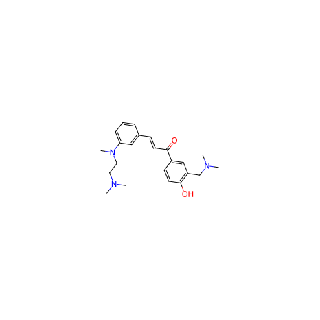 CN(C)CCN(C)c1cccc(C=CC(=O)c2ccc(O)c(CN(C)C)c2)c1